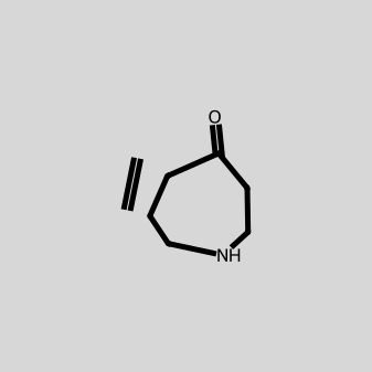 C=C.O=C1CCCNCC1